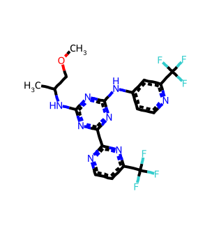 COCC(C)Nc1nc(Nc2ccnc(C(F)(F)F)c2)nc(-c2nccc(C(F)(F)F)n2)n1